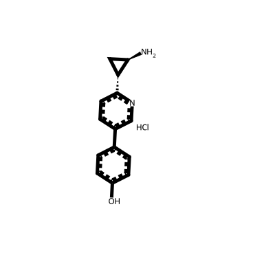 Cl.N[C@@H]1C[C@H]1c1ccc(-c2ccc(O)cc2)cn1